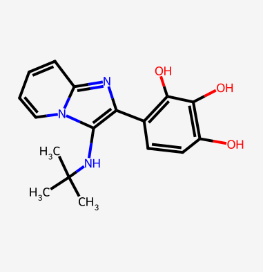 CC(C)(C)Nc1c(-c2ccc(O)c(O)c2O)nc2ccccn12